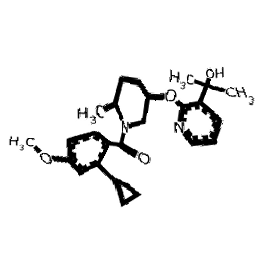 COc1ccc(C(=O)N2CC(Oc3ncccc3C(C)(C)O)CCC2C)c(C2CC2)c1